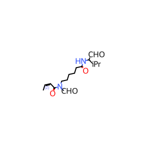 C/C=C\C(=O)N(C=O)CCCCCC(=O)NC(C=O)C(C)C